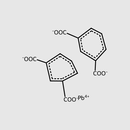 O=C([O-])c1cccc(C(=O)[O-])c1.O=C([O-])c1cccc(C(=O)[O-])c1.[Pb+4]